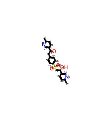 Cc1ccc(C(=O)Cc2ccc(S(=O)(=O)CC(O)c3ccc(C)nc3)cc2)cn1